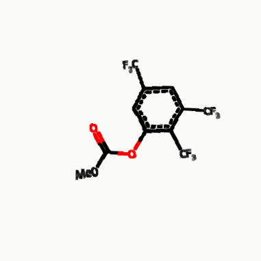 COC(=O)Oc1cc(C(F)(F)F)cc(C(F)(F)F)c1C(F)(F)F